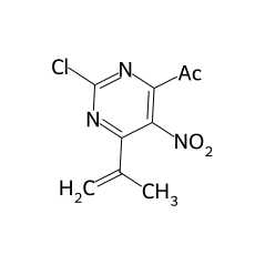 C=C(C)c1nc(Cl)nc(C(C)=O)c1[N+](=O)[O-]